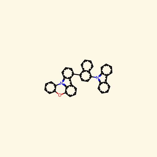 c1ccc2c(c1)Oc1cccc3c4c(-c5ccc(-n6c7ccccc7c7ccccc76)c6ccccc56)cccc4n-2c13